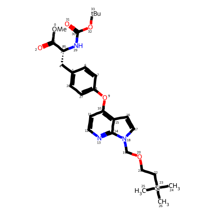 COC(=O)[C@@H](Cc1ccc(Oc2ccnc3c2ccn3COCC[Si](C)(C)C)cc1)NC(=O)OC(C)(C)C